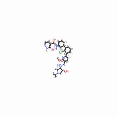 C=C(C)N1C[C@@H](O)[C@H](NCc2ccc(-c3cccc(-c4cccc(NC(=O)c5ccnn(C)c5=O)c4Cl)c3Cl)nc2OC)C1